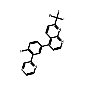 Fc1ccc(-c2ccnc3nc(C(F)(F)F)ccc23)cc1-c1cnccn1